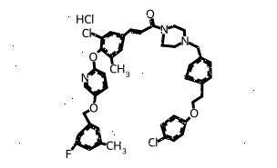 Cc1cc(F)cc(COc2ccc(Oc3c(C)cc(C=CC(=O)N4CCN(Cc5ccc(CCOc6ccc(Cl)cc6)cc5)CC4)cc3Cl)nc2)c1.Cl